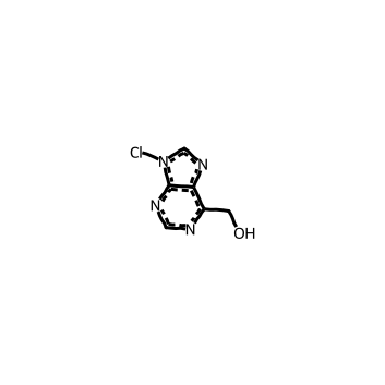 OCc1ncnc2c1ncn2Cl